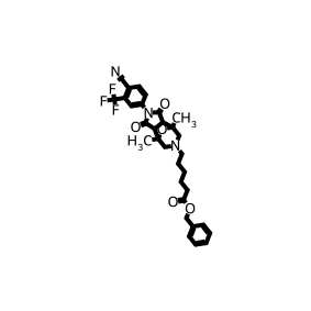 CC12CN(CCCCCC(=O)OCc3ccccc3)CC(C)(O1)C1C(=O)N(c3ccc(C#N)c(C(F)(F)F)c3)C(=O)C12